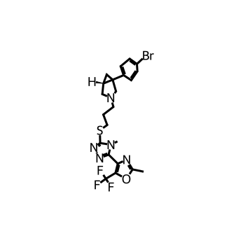 Cc1nc(-c2nnc(SCCCN3C[C@@H]4CC4(c4ccc(Br)cc4)C3)n2C)c(C(F)(F)F)o1